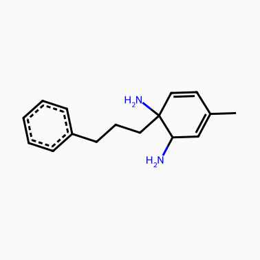 CC1=CC(N)C(N)(CCCc2ccccc2)C=C1